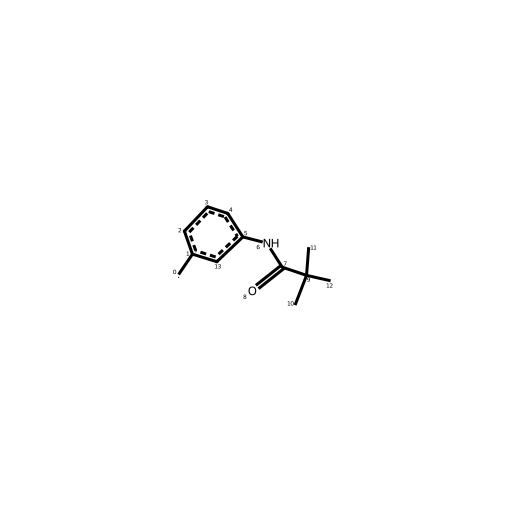 [CH2]c1cccc(NC(=O)C(C)(C)C)c1